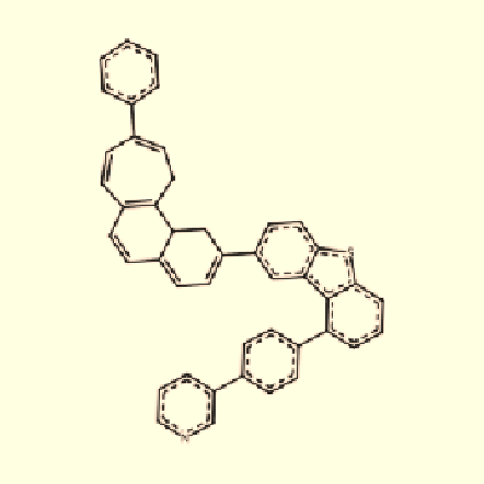 C1=CC2=C(CC=C1c1ccccc1)C1CC(c3ccc4sc5cccc(-c6ccc(-c7cccnc7)cc6)c5c4c3)=CC=C1C=C2